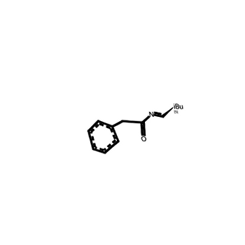 [CH2][C@H](C=NC(=O)Cc1ccccc1)CC